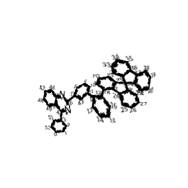 c1ccc(-c2nc(-c3cccc(-c4ccccc4-c4cccc5c4-c4ccccc4C54c5ccccc5-c5ccccc54)c3)nc3ccccc23)cc1